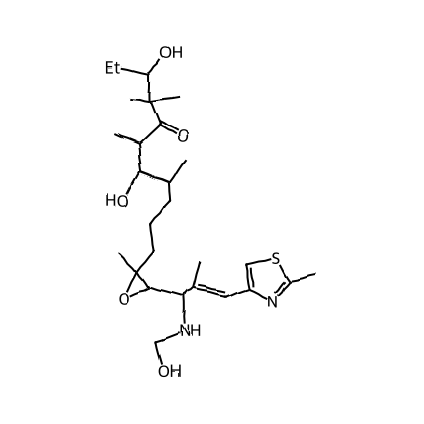 CCC(O)C(C)(C)C(=O)C(C)C(O)C(C)CCCC1(C)OC1C(NCO)/C(C)=C/c1csc(C)n1